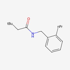 CCCc1ccccc1CNC(=O)CC(C)(C)C